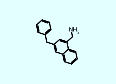 NCc1cc(Cc2ccccc2)cc2ccccc12